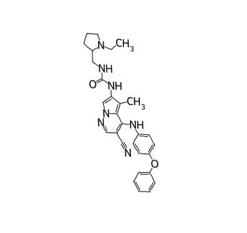 CCN1CCCC1CNC(=O)Nc1cn2ncc(C#N)c(Nc3ccc(Oc4ccccc4)cc3)c2c1C